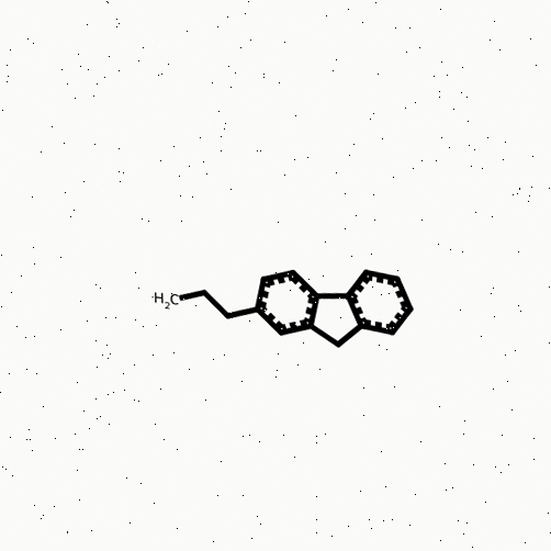 [CH2]CCc1ccc2c(c1)Cc1ccccc1-2